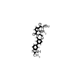 Cc1nc2ccc(-c3ccc4c(c3)CN(C(=O)C3CC=C(C(=O)NC(C)(C)C)N3C)CCO4)cc2[nH]1